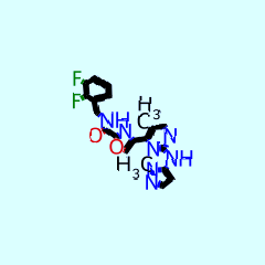 Cc1cnc(Nc2ccnn2C)nc1-c1coc(C(=O)NCc2cccc(F)c2F)n1